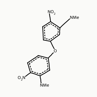 CNc1cc(Oc2ccc([N+](=O)[O-])c(NC)c2)ccc1[N+](=O)[O-]